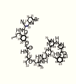 CCCC(NC(=O)/C(C#N)=C/C1=NC(Br)=CCC1)c1ccc(OCC(=O)NCCC(C)(CC)OCCC(C)(CC)NC(=N)CN2CCN(c3cc(Nc4ncc(C(=O)Nc5c(C)cccc5Cl)s4)nc(C)n3)CC2)cc1